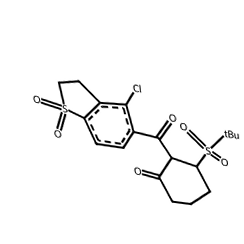 CC(C)(C)S(=O)(=O)C1CCCC(=O)C1C(=O)c1ccc2c(c1Cl)CCS2(=O)=O